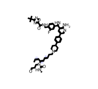 C\C=C/C(=C\C=C\CCN1CCC(c2ccc(-c3cnc(N)c(C(=N)c4ccc(CNC(=O)c5nc(C(C)(C)C)no5)c(F)c4)c3)cc2)CC1)N(CCC=O)C(=O)NC